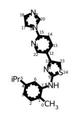 Cc1ccc(C(C)C)cc1Nc1nc(-c2ccc(-n3ccnc3)nc2)cs1